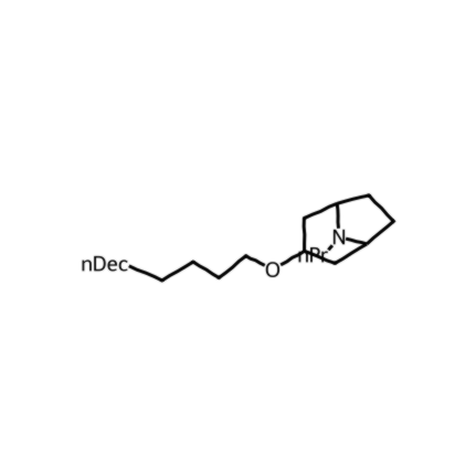 CCCCCCCCCCCCCCOC1CC2CCC(C1)N2CCC